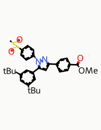 COC(=O)c1ccc(-c2cc(-c3cc(C(C)(C)C)cc(C(C)(C)C)c3)n(-c3ccc(S(C)(=O)=O)cc3)n2)cc1